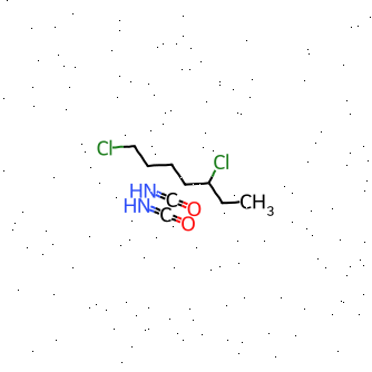 CCC(Cl)CCCCCl.N=C=O.N=C=O